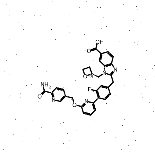 NC(=O)c1ccc(COc2cccc(-c3ccc(Cc4nc5ccc(C(=O)O)cc5n4C[C@@H]4CCO4)cc3F)n2)cn1